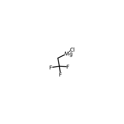 FC(F)(F)[CH2][Mg][Cl]